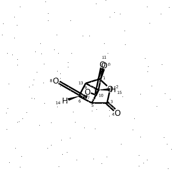 O=C1OC(=O)C2[C@H]3C(=O)OC(=O)[C@H]2C13